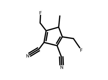 CC1C(CF)=C(C#N)C(C#N)=C1CF